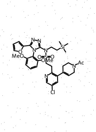 COc1cccc(OC)c1-n1c(-c2ccco2)nnc1N(CC[Si](C)(C)C)S(=O)(=O)CCc1ncc(Cl)cc1C1=CCN(C(C)=O)CC1